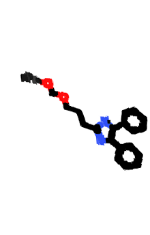 CCCOCOCCCC1=NC(c2ccccc2)=C(c2ccccc2)[N]1